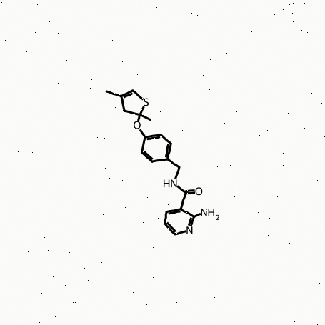 CC1=CSC(C)(Oc2ccc(CNC(=O)c3cccnc3N)cc2)C1